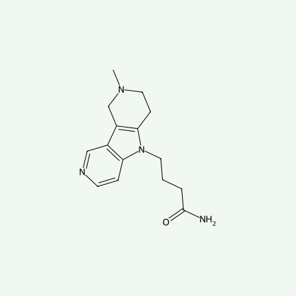 CN1CCc2c(c3cnccc3n2CCCC(N)=O)C1